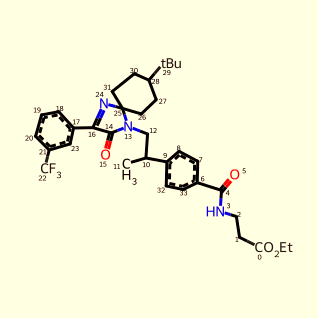 CCOC(=O)CCNC(=O)c1ccc(C(C)CN2C(=O)C(c3cccc(C(F)(F)F)c3)=NC23CCC(C(C)(C)C)CC3)cc1